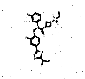 CCS(=O)(=O)N1CC(C(=O)N(Cc2ccc(-c3nnc(C(F)F)o3)cc2F)c2cccc(F)c2)C1